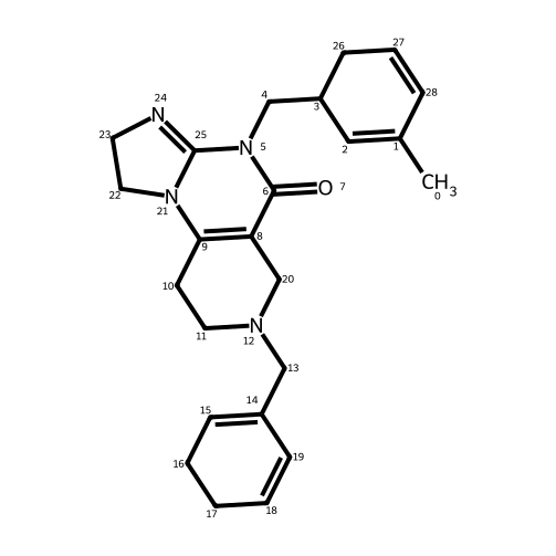 CC1=CC(CN2C(=O)C3=C(CCN(CC4=CCCC=C4)C3)N3CCN=C23)CC=C1